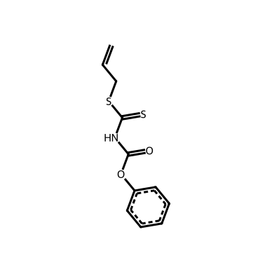 C=CCSC(=S)NC(=O)Oc1ccccc1